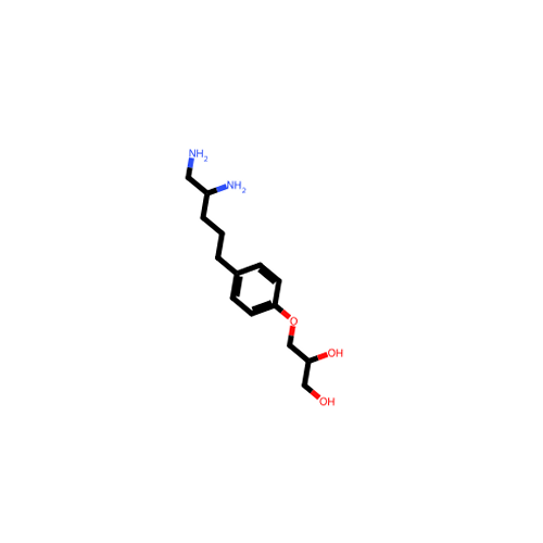 NCC(N)CCCc1ccc(OCC(O)CO)cc1